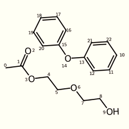 CC(=O)OCCOCCO.c1ccc(Oc2ccccc2)cc1